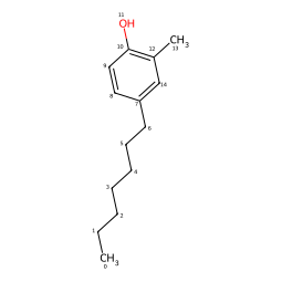 CCCCCCCc1ccc(O)c(C)c1